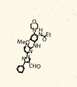 CCC(=O)Nc1cc(Nc2nccc(-n3cc(C=O)c(-c4ccccc4)n3)n2)c(OC)cc1N1CCOCC1